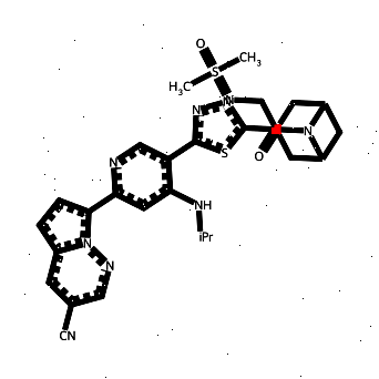 CC(C)Nc1cc(-c2ccc3cc(C#N)cnn23)ncc1-c1nnc(N2CC3CC(C2)N3C(=O)CN=S(C)(C)=O)s1